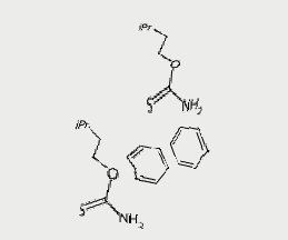 CC(C)CCOC(N)=S.CC(C)CCOC(N)=S.c1ccccc1.c1ccccc1